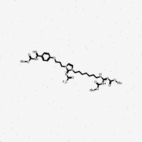 CC(C)(C)OC(=O)/N=C(/NCCCCCCCn1ccn(CCCOc2ccc(C(=N)NC(=O)OC(C)(C)C)cc2)/c1=N/C(=O)C(F)(F)F)NC(=O)OC(C)(C)C